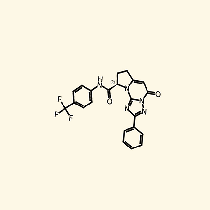 O=C(Nc1ccc(C(F)(F)F)cc1)[C@H]1CCc2cc(=O)n3nc(-c4ccccc4)nc3n21